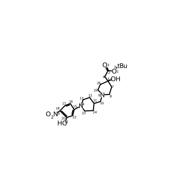 CC(C)(C)OC(=O)CC1(O)CCN(CC2CCN(c3ccc([N+](=O)[O-])c(O)c3)CC2)CC1